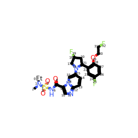 CCN(C)S(=O)(=O)NC(=O)c1cnc2ccc(N3CC(F)CC3c3cc(F)ccc3OCCF)cn12